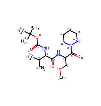 COCC(NC(=O)C(NC(=O)OC(C)(C)C)C(C)C)C(=O)N1CCCCN1